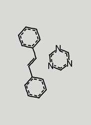 C(=Cc1ccccc1)c1ccccc1.c1ncncn1